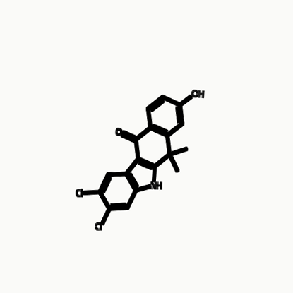 CC1(C)c2cc(O)ccc2C(=O)c2c1[nH]c1cc(Cl)c(Cl)cc21